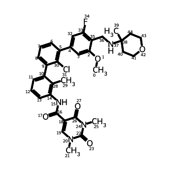 COc1cc(-c2cccc(-c3cccc(NC(=O)c4cn(C)c(=O)n(C)c4=O)c3C)c2Cl)cc(F)c1CNC1(C)CCOCC1